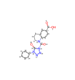 O=C(O)c1ccc2c(c1)CCCN2C(=O)n1nnn(-c2ccccc2)c1=O